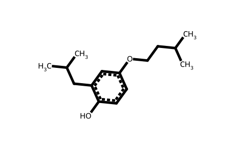 CC(C)CCOc1ccc(O)c(CC(C)C)c1